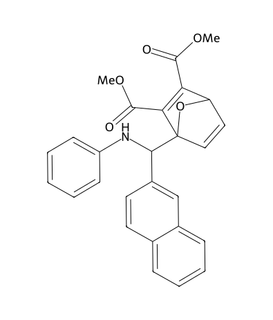 COC(=O)C1=C(C(=O)OC)C2(C(Nc3ccccc3)c3ccc4ccccc4c3)C=CC1O2